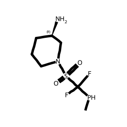 CPC(F)(F)S(=O)(=O)N1CCC[C@@H](N)C1